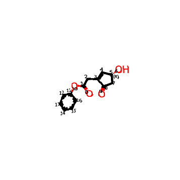 O=C(CC1=C[C@H](O)CC1=O)Oc1ccccc1